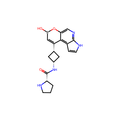 O=C(N[C@H]1C[C@@H](C2=CB(O)Oc3cnc4[nH]ccc4c32)C1)[C@@H]1CCCN1